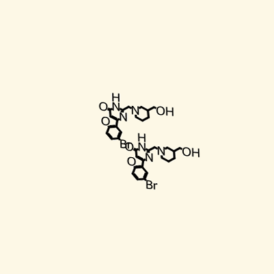 O=c1[nH]c(CN2CCCC(CO)C2)nc2c1oc1ccc(Br)cc12.O=c1[nH]c(CN2CCCC(CO)C2)nc2c1oc1ccc(Br)cc12